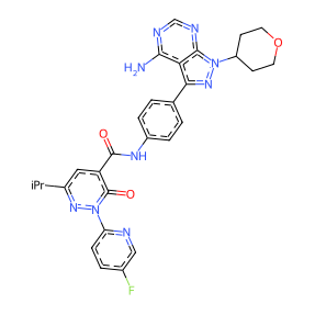 CC(C)c1cc(C(=O)Nc2ccc(-c3nn(C4CCOCC4)c4ncnc(N)c34)cc2)c(=O)n(-c2ccc(F)cn2)n1